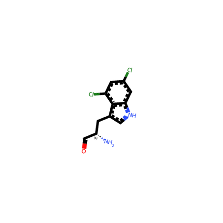 N[C@H]([C]=O)Cc1c[nH]c2cc(Cl)cc(Cl)c12